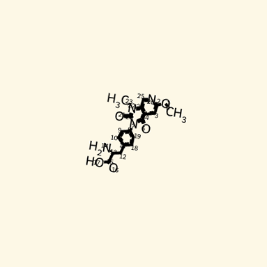 COc1cc2c(=O)n(-c3ccc(C[C@H](N)C(=O)O)cc3)c(=O)n(C)c2cn1